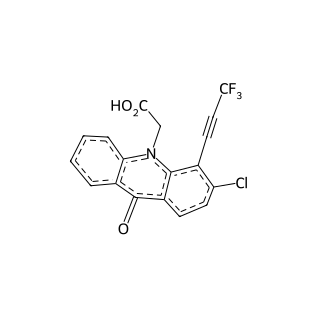 O=C(O)Cn1c2ccccc2c(=O)c2ccc(Cl)c(C#CC(F)(F)F)c21